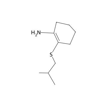 CC(C)CSC1=C(N)CCCC1